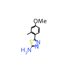 COc1ccc(-c2nnc(N)s2)c(C)c1